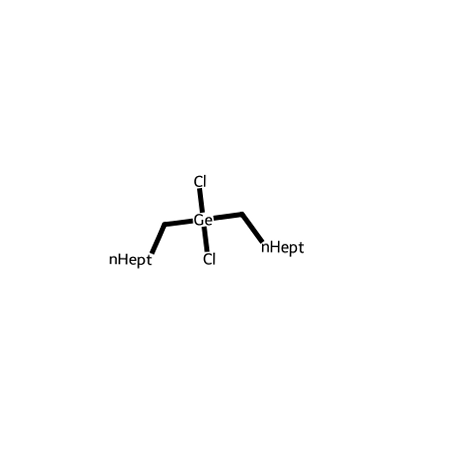 CCCCCCC[CH2][Ge]([Cl])([Cl])[CH2]CCCCCCC